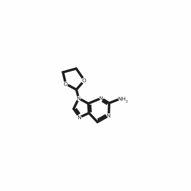 Nc1ncc2ncn(C3OCCO3)c2n1